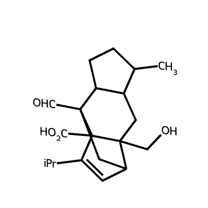 CC(C)C1=CC2CC3(C=O)C4CCC(C)C4CC2(CO)C13C(=O)O